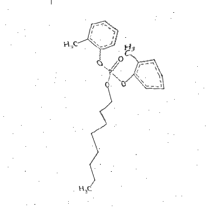 CCCCCCCCOP(=O)(Oc1ccccc1C)Oc1ccccc1C